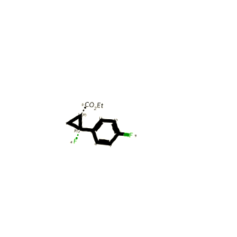 CCOC(=O)[C@H]1C[C@]1(F)c1ccc(F)cc1